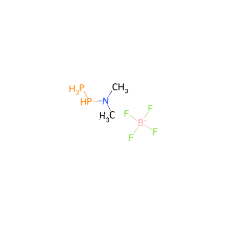 CN(C)PP.F[B-](F)(F)F